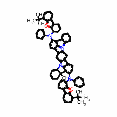 CC(C)(C)c1cccc2c3c(oc12)C(N(c1ccccc1)c1ccc2c4cc5c(cc4n4c6ccccc6c1c24)c1ccc(N(c2ccccc2)c2cccc4c2oc2c(C(C)(C)C)cccc24)c2c1n5C1=CC=CCC12C)CC=C3